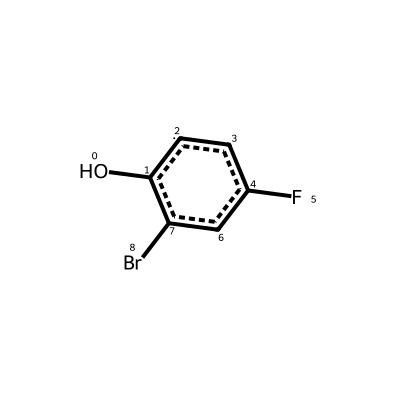 Oc1[c]cc(F)cc1Br